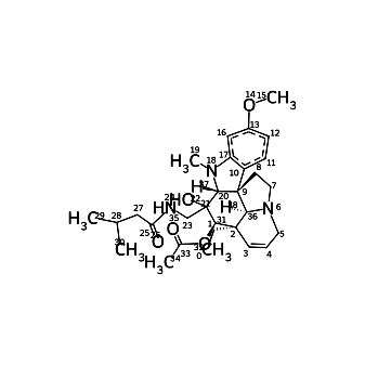 CC[C@]12C=CCN3CC[C@@]4(c5ccc(OC)cc5N(C)[C@H]4C(O)(CNC(=O)CC(C)C)[C@@H]1OC(C)=O)[C@@H]32